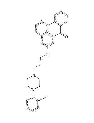 O=C1c2ccccc2-c2nccc3cc(OCCCN4CCN(c5ccccc5F)CC4)cc1c23